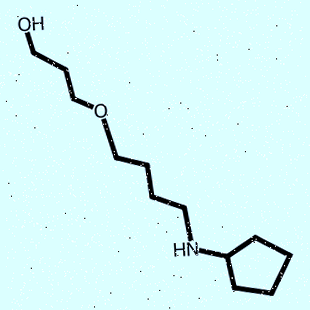 OCCCOCCCCNC1CCCC1